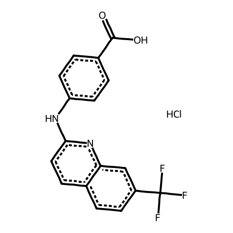 Cl.O=C(O)c1ccc(Nc2ccc3ccc(C(F)(F)F)cc3n2)cc1